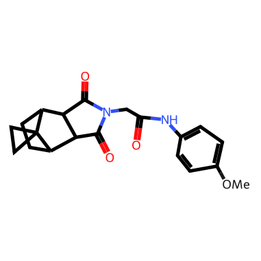 COc1ccc(NC(=O)CN2C(=O)C3C(C2=O)C2CCC3C23CC3)cc1